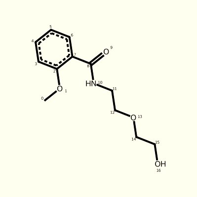 COc1ccccc1C(=O)NCCOCCO